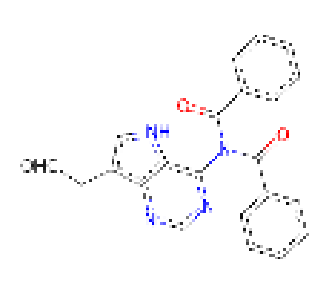 O=CCc1c[nH]c2c(N(C(=O)c3ccccc3)C(=O)c3ccccc3)ncnc12